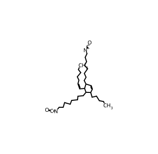 CCCCC/C=C\C1C(CCCCCCCCN=C=O)C=CC(CCCCC)C1CCCCCCCCN=C=O